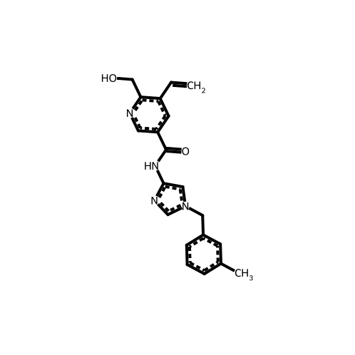 C=Cc1cc(C(=O)Nc2cn(Cc3cccc(C)c3)cn2)cnc1CO